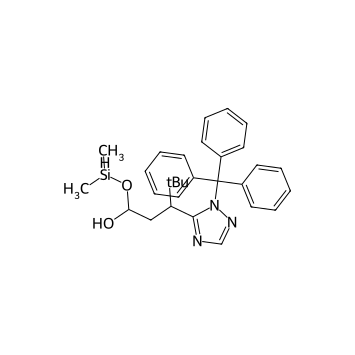 C[SiH](C)OC(O)CC(c1ncnn1C(c1ccccc1)(c1ccccc1)c1ccccc1)C(C)(C)C